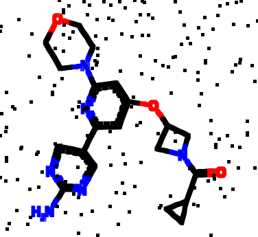 Nc1ncc(-c2cc(OC3CN(C(=O)C4CC4)C3)cc(N3CCOCC3)n2)cn1